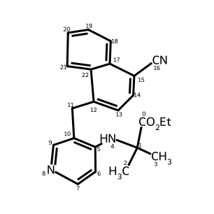 CCOC(=O)C(C)(C)Nc1ccncc1Cc1ccc(C#N)c2ccccc12